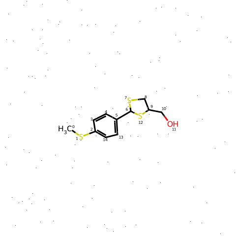 CSc1ccc(C2SCC(CO)S2)cc1